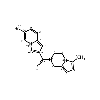 Cc1ccc2n1CCN(C(=O)c1cc3ccc(Br)cn3n1)C2